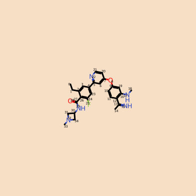 CCc1cc(-c2cc(Oc3ccc(C(C)=N)c(NC)c3)ccn2)cc(F)c1C(=O)NC1CN(C)C1